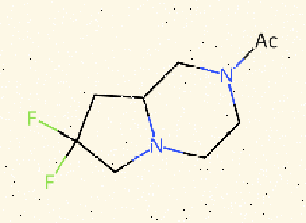 CC(=O)N1CCN2CC(F)(F)CC2C1